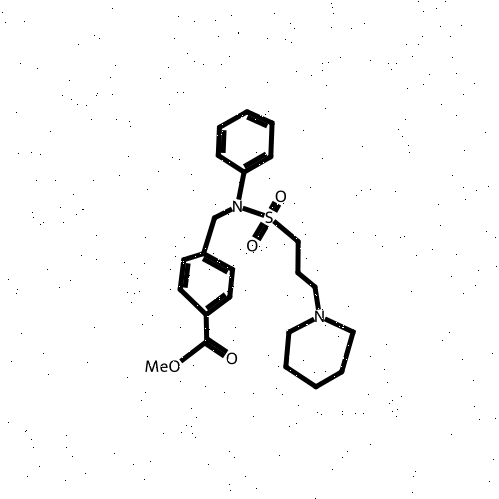 COC(=O)c1ccc(CN(c2ccccc2)S(=O)(=O)CCCN2CCCCC2)cc1